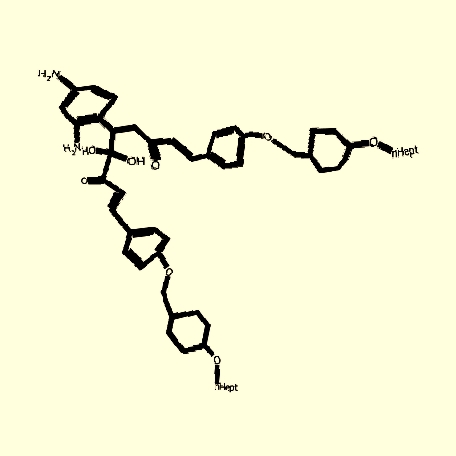 CCCCCCCOC1CCC(COc2ccc(/C=C/C(=O)CC(c3ccc(N)cc3N)C(O)(O)C(=O)/C=C/c3ccc(OCC4CCC(OCCCCCCC)CC4)cc3)cc2)CC1